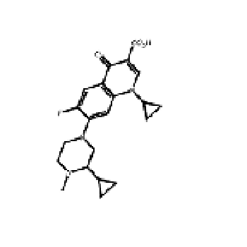 CN1CCN(c2cc3c(cc2F)c(=O)c(C(=O)O)cn3C2CC2)CC1C1CC1